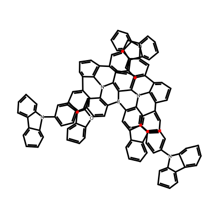 c1ccc2c(c1)Cc1cc(-c3cccc(-c4ccc5c(c4)oc4ccccc45)c3N3c4cc(-c5ccc(-n6c7ccccc7c7ccccc76)cc5)ccc4B4c5ccc(-c6ccc(-n7c8ccccc8c8ccccc87)cc6)cc5N(c5c(-c6ccc7c(c6)oc6ccccc67)cccc5-c5ccc6c(c5)oc5ccccc56)c5cccc3c54)ccc1-2